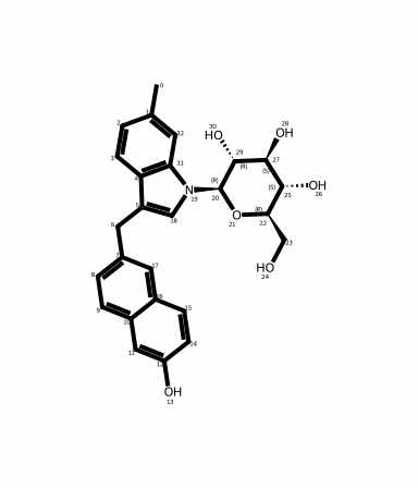 Cc1ccc2c(Cc3ccc4cc(O)ccc4c3)cn([C@@H]3O[C@H](CO)[C@@H](O)[C@H](O)[C@H]3O)c2c1